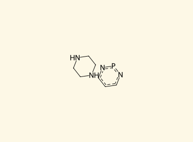 C1CNCCN1.c1cnpnc1